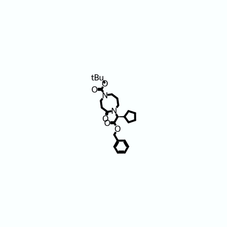 CC(C)(C)OC(=O)N1CCCN([C@H](C(=O)OCc2ccccc2)C2CCCC2)C(=O)CC1